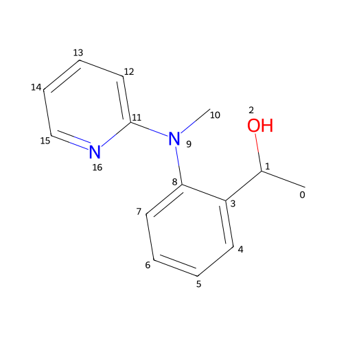 CC(O)c1ccccc1N(C)c1ccccn1